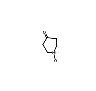 O=C1CC[NH+]([O-])CC1